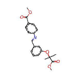 COC(=O)c1ccc(N=Cc2cccc(OC(C)(C)C(=O)OC)c2)cc1